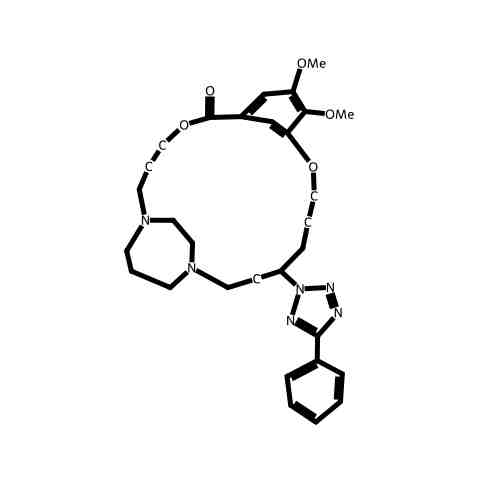 COc1cc2cc(c1OC)OCCCC(n1nnc(-c3ccccc3)n1)CCN1CCCN(CCCOC2=O)CC1